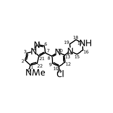 CNc1ccn2ncc(-c3cc(Cl)cc(N4CCNCC4)n3)c2c1